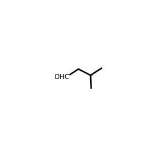 C[C](C)CC=O